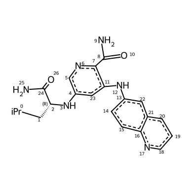 CC(C)C[C@@H](Nc1cnc(C(N)=O)c(Nc2ccc3ncccc3c2)c1)C(N)=O